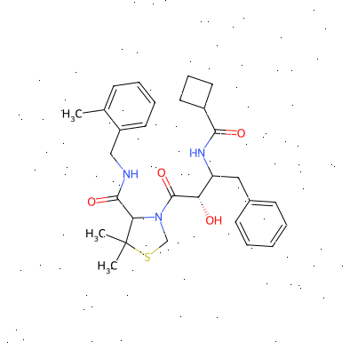 Cc1ccccc1CNC(=O)C1N(C(=O)[C@@H](O)C(Cc2ccccc2)NC(=O)C2CCC2)CSC1(C)C